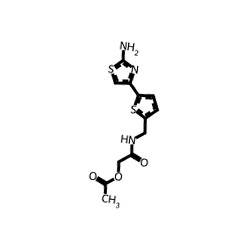 CC(=O)OCC(=O)NCc1ccc(-c2csc(N)n2)s1